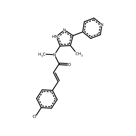 Cc1c(-c2ccncc2)n[nH]c1N(C)C(=O)C=Cc1ccc(Cl)cc1